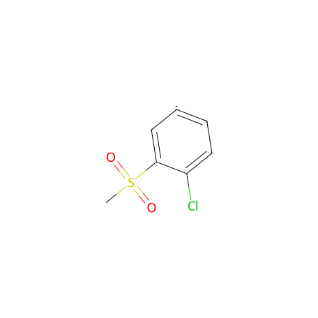 CS(=O)(=O)c1c[c]ccc1Cl